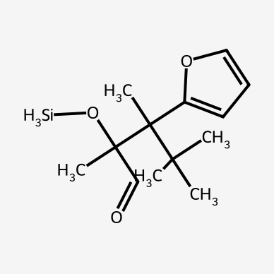 CC(C)(C)C(C)(c1ccco1)C(C)(C=O)O[SiH3]